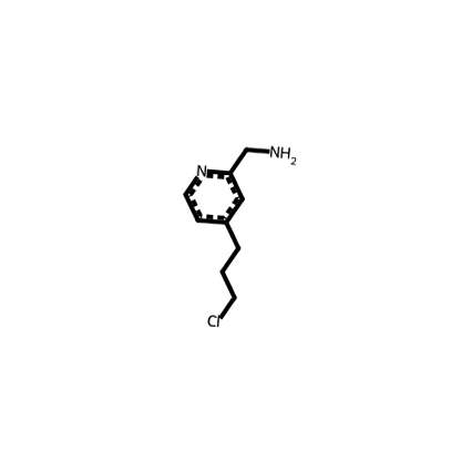 NCc1cc(CCCCl)ccn1